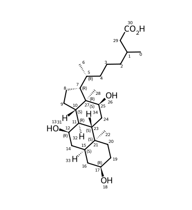 CC(CCC[C@@H](C)[C@H]1CC[C@H]2[C@@H]3[C@H](O)C[C@@H]4C[C@H](O)CC[C@]4(C)[C@H]3C[C@H](O)[C@]12C)CC(=O)O